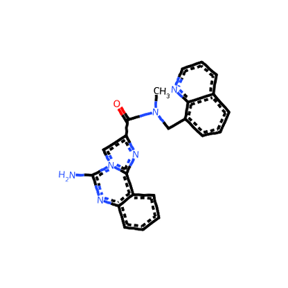 CN(Cc1cccc2cccnc12)C(=O)c1cn2c(N)nc3ccccc3c2n1